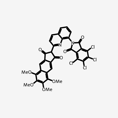 COc1c(OC)c(OC)c2cc3c(cc2c1OC)C(=O)C(c1ccc2cccc(N4C(=O)c5c(Cl)c(Cl)c(Cl)c(Cl)c5C4=O)c2n1)C3=O